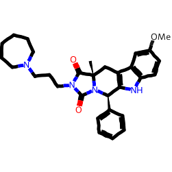 COc1ccc2[nH]c3c(c2c1)C[C@@]1(C)C(=O)N(CCCN2CCCCCC2)C(=O)N1[C@@H]3c1ccccc1